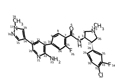 CN1C[C@H](NC(=O)c2ccc(-c3cc(-c4cnn(C)c4)cnc3N)cc2F)[C@@H](c2ccc(Cl)c(F)c2)C1